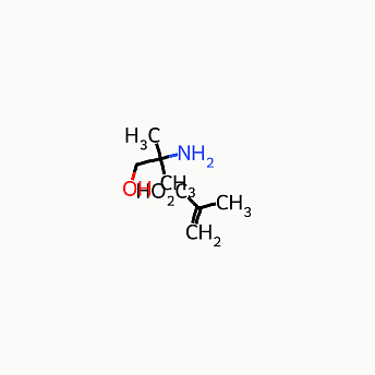 C=C(C)C(=O)O.CC(C)(N)CO